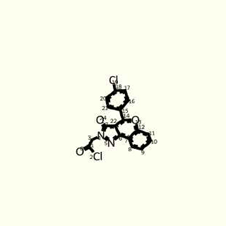 O=C(Cl)Cn1nc2c3ccccc3oc(-c3ccc(Cl)cc3)c-2c1=O